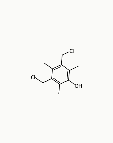 Cc1c(O)c(C)c(CCl)c(C)c1CCl